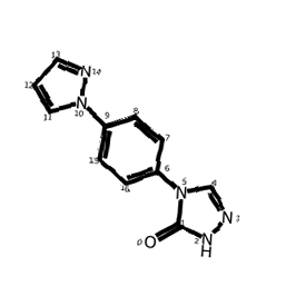 O=c1[nH]ncn1-c1ccc(-n2cccn2)cc1